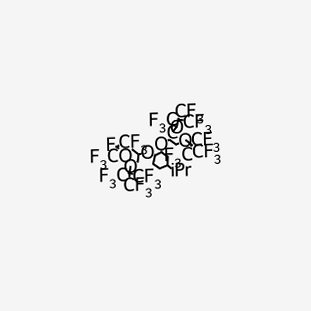 CC(C)C1CCC(OC(COC(F)(C(F)(F)F)C(F)(F)F)COC(C(F)(F)F)(C(F)(F)F)C(F)(F)F)C(OC(COC(C(F)(F)F)(C(F)(F)F)C(F)(F)F)COC(C(F)(F)F)(C(F)(F)F)C(F)(F)F)C1